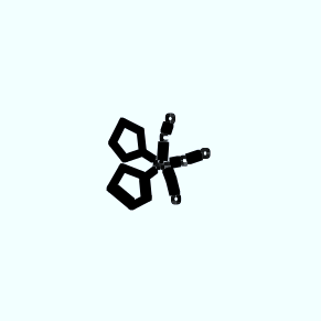 O=[C]=[Mn](=[C]=O)(=[C]=O)([C]1=CC=CC1)[CH]1CCCC1